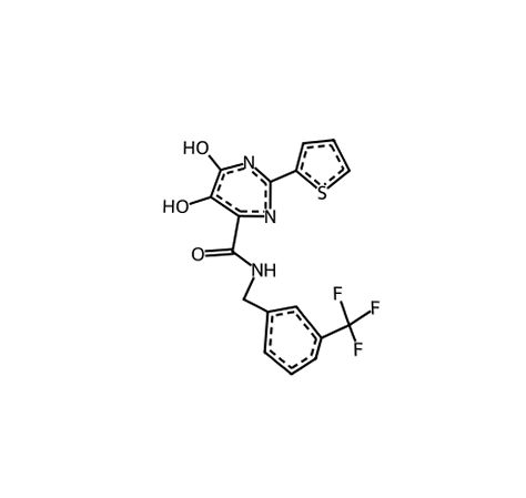 O=C(NCc1cccc(C(F)(F)F)c1)c1nc(-c2cccs2)nc(O)c1O